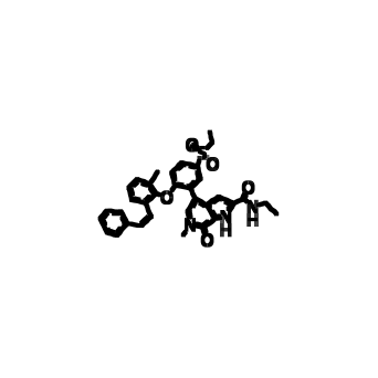 CCNC(=O)c1cc2c(-c3cc(S(=O)(=O)CC)ccc3Oc3c(C)cccc3/C=C\c3ccccc3)cn(C)c(=O)c2[nH]1